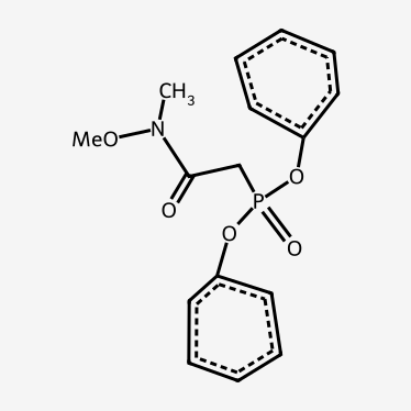 CON(C)C(=O)CP(=O)(Oc1ccccc1)Oc1ccccc1